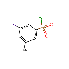 CCc1cc(I)cc(S(=O)(=O)Cl)c1